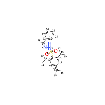 CC(=NNS(=O)(=O)c1c(C(C)C)cc(C(C)C)cc1C(C)C)c1ccccc1